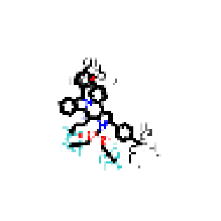 Cc1ccc(C2=N/C(=C(/CCC(F)(F)F)c3c(-c4ccc(C(C)(C)C)cc4)cc(-c4ccc(C(C)(C)C)cc4)n3B(OCC(F)(F)C(F)(F)F)OCC(F)(F)C(F)(F)F)c3ccccc32)cc1